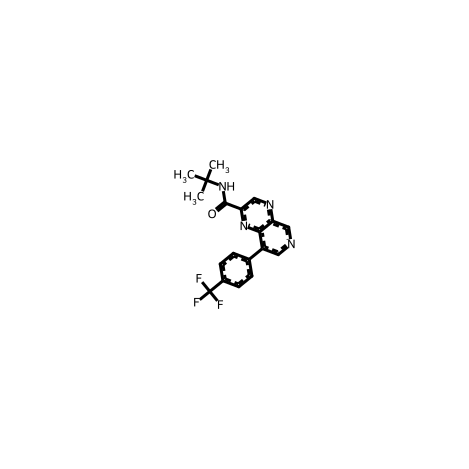 CC(C)(C)NC(=O)c1cnc2cncc(-c3ccc(C(F)(F)F)cc3)c2n1